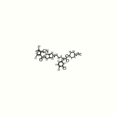 CC(=O)N1CCC(OC(=O)N(CCCN2CC3CN(C(=O)c4c(C)sc(C)c4C#N)CC3C2)c2ccc(C)c(Cl)c2)CC1